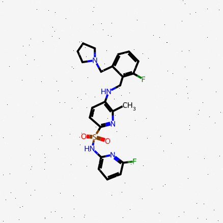 Cc1nc(S(=O)(=O)Nc2cccc(F)n2)ccc1NCc1c(F)cccc1CN1CCCC1